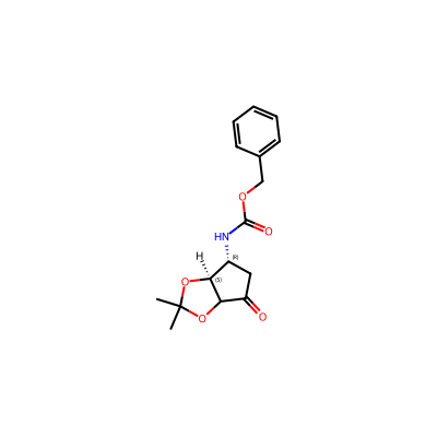 CC1(C)OC2C(=O)C[C@@H](NC(=O)OCc3ccccc3)[C@@H]2O1